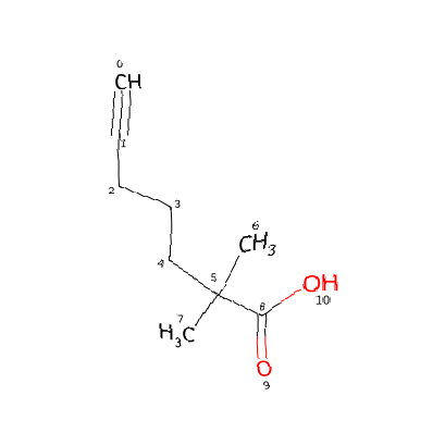 C#CCCCC(C)(C)C(=O)O